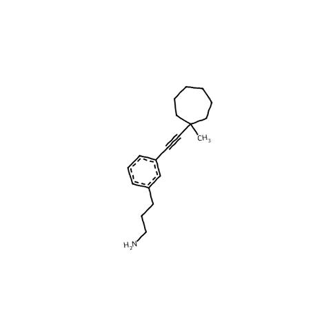 CC1(C#Cc2cccc(CCCN)c2)CCCCCC1